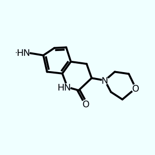 [NH]c1ccc2c(c1)NC(=O)C(N1CCOCC1)C2